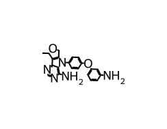 CC1OCc2c1c1ncnc(N)c1n2-c1ccc(Oc2cccc(N)c2)cc1